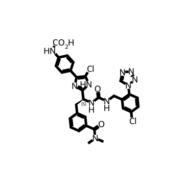 CN(C)C(=O)c1cccc(C[C@H](NC(=O)NCc2cc(Cl)ccc2-n2cnnn2)c2nc(-c3ccc(NC(=O)O)cc3)c(Cl)[nH]2)c1